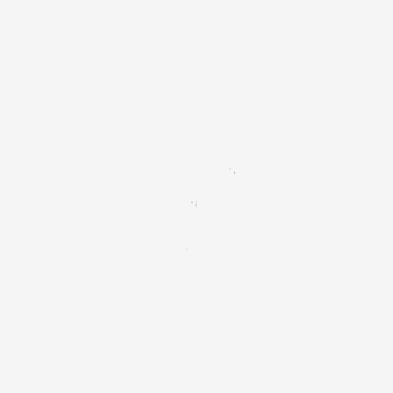 Cc1ccc2oc(=O)c(F)c(N(Cc3ccc4c(c3)OCO4)C3CCNCC3)c2c1